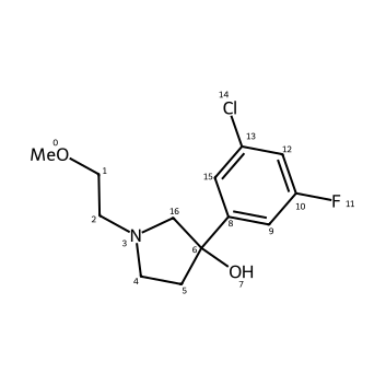 COCCN1CCC(O)(c2cc(F)cc(Cl)c2)C1